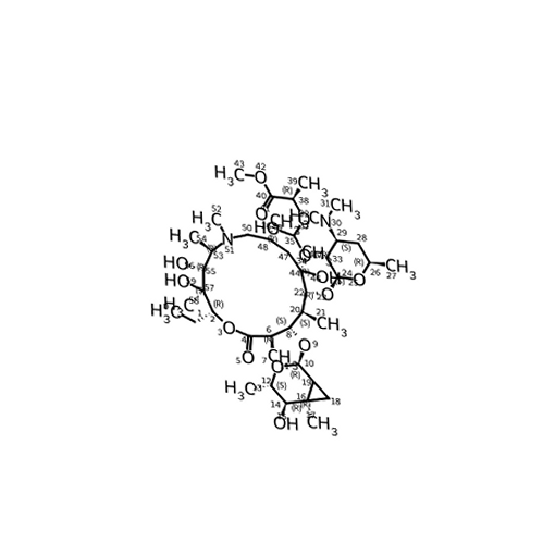 CC[C@H]1OC(=O)[C@H](C)[C@@H](O[C@@H]2O[C@@H](C)[C@H](O)[C@]3(C)CC23)[C@H](C)[C@@H](O[C@@H]2O[C@H](C)C[C@H](N(C)C)[C@H]2OC(O)O[C@H](C)C(=O)OC)[C@](C)(O)C[C@@H](C)CN(C)[C@H](C)[C@@H](O)[C@]1(C)O